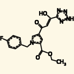 CCOC(=O)c1cc(C(=O)C=C(O)c2nn[nH]n2)cn1Cc1ccc(F)cc1